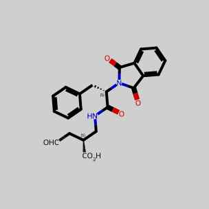 O=CC[C@@H](CNC(=O)[C@H](Cc1ccccc1)N1C(=O)c2ccccc2C1=O)C(=O)O